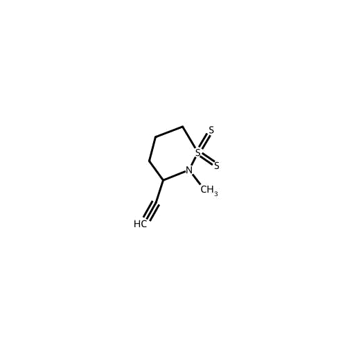 C#CC1CCCS(=S)(=S)N1C